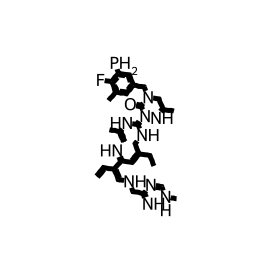 C=C/C(=C/NCC(=N)/N=C\NC)C(=N)/C=C(/CC)CN/C(=N/C(=O)N(CC(C)=N)Cc1cc(C)c(F)c(P)c1)NC(=C)C